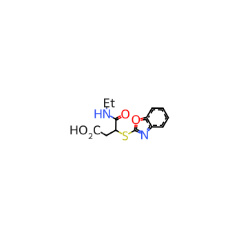 CCNC(=O)C(CC(=O)O)Sc1nc2ccccc2o1